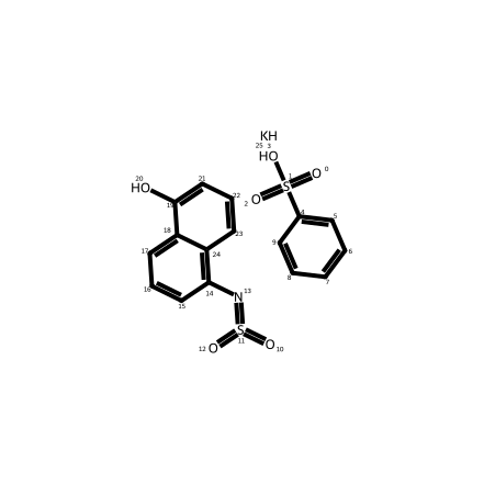 O=S(=O)(O)c1ccccc1.O=S(=O)=Nc1cccc2c(O)cccc12.[KH]